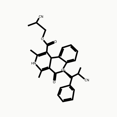 CC1=C(C(=O)OCC(C)C#N)C(c2ccccc2OCc2ccccc2)C(C(=O)OCC(C)C#N)=C(C)N1